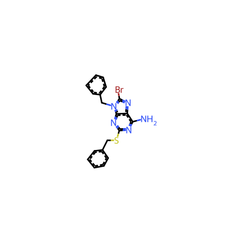 Nc1nc(SCc2ccccc2)nc2c1nc(Br)n2Cc1ccccc1